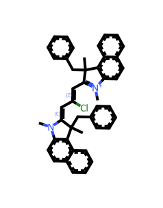 CN1/C(=C/C(Cl)=C/C2=[N+](C)c3ccc4ccccc4c3C2(C)Cc2ccccc2)C(C)(Cc2ccccc2)c2c1ccc1ccccc21